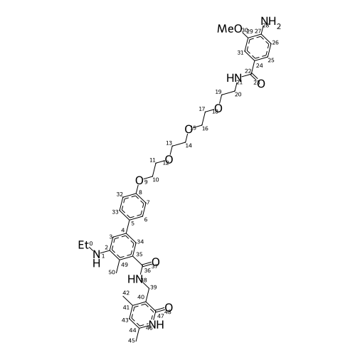 CCNc1cc(-c2ccc(OCCOCCOCCOCCNC(=O)c3ccc(N)c(OC)c3)cc2)cc(C(=O)NCc2c(C)cc(C)[nH]c2=O)c1C